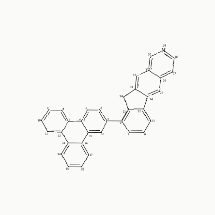 c1cc(-c2ccc3c4ccccc4c4ccccc4c3c2)c2c(c1)-c1cc3ccncc3cc1C2